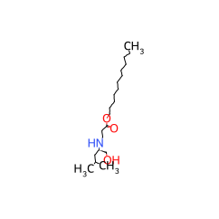 CCCCCCCCCCCCOC(=O)CCN[C@@H](CO)CC(C)C